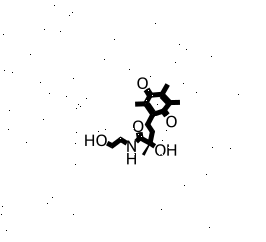 CC1=C(C)C(=O)C(CC[C@](C)(O)C(=O)NCCO)=C(C)C1=O